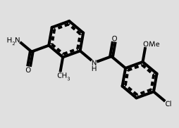 COc1cc(Cl)ccc1C(=O)Nc1cccc(C(N)=O)c1C